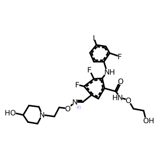 O=C(NOCCO)c1cc(/C=N/OCCN2CCC(O)CC2)c(F)c(F)c1Nc1ccc(I)cc1F